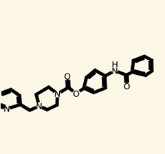 O=C(Nc1ccc(OC(=O)N2CCN(Cc3ccccn3)CC2)cc1)c1ccccc1